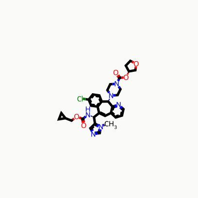 Cn1cncc1[C@H](NC(=O)OCC1CC1)C1=Cc2cccnc2[C@@H](N2CCN(C(=O)O[C@H]3CCOC3)CC2)c2ccc(Cl)cc21